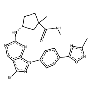 CNC(=O)C1(C)CC[C@@H](Nc2ncc3c(Br)nn(-c4ccc(-c5nc(C)no5)cc4)c3n2)C1